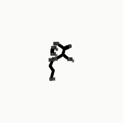 C=C.CC(O)C(=O)O.OCCO